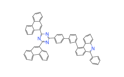 c1ccc(-c2nc3ccccc3c3c(-c4cccc(-c5ccc(-c6nc(-c7cc8ccccc8c8ccccc78)nc(-c7cc8ccccc8c8ccccc78)n6)cc5)c4)cccc23)cc1